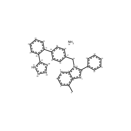 Cc1ccnc2c1nc(-c1ccccc1)n2Cc1ccc(-c2ccccc2-c2nnn[nH]2)cc1.N